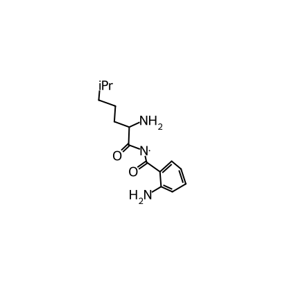 CC(C)CCCC(N)C(=O)[N]C(=O)c1ccccc1N